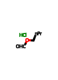 CCCCOC=O.Cl